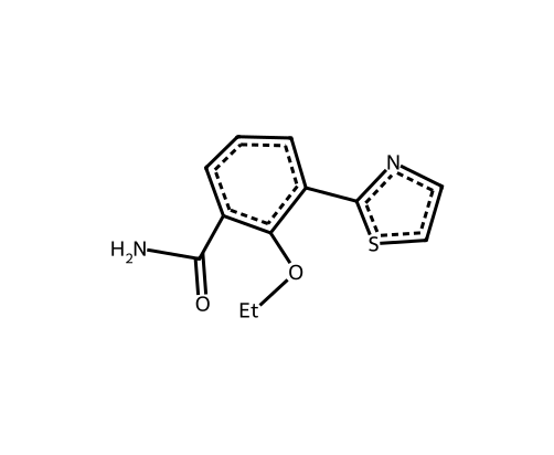 CCOc1c(C(N)=O)cccc1-c1nccs1